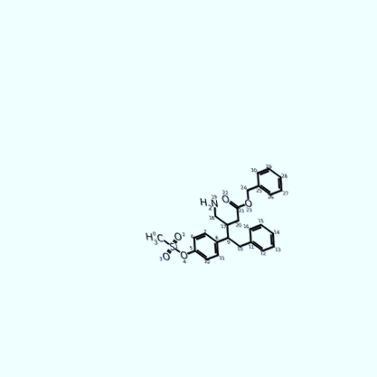 CS(=O)(=O)Oc1ccc(C(Cc2ccccc2)C(CN)CC(=O)OCc2ccccc2)cc1